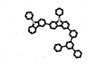 c1ccc(-c2cc(-c3ccccc3)cc(-c3cccc(-c4ccc5c(c4)c4ccc(-c6ccc7c(c6)c6ccccc6n7-c6ccccc6)cc4n5-c4ccccc4)c3)c2)cc1